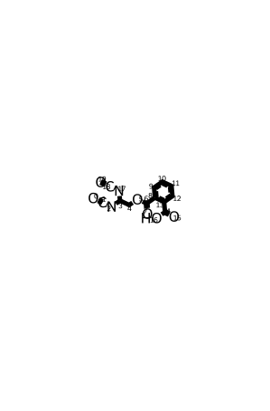 O=C=NC(COC(=O)c1ccccc1C(=O)O)N=C=O